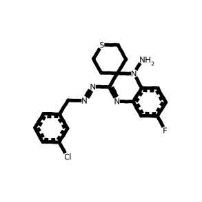 NN1c2ccc(F)cc2N=C(N=NCc2cccc(Cl)c2)C12CCSCC2